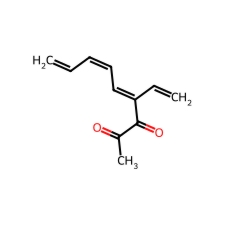 C=C/C=C\C=C(/C=C)C(=O)C(C)=O